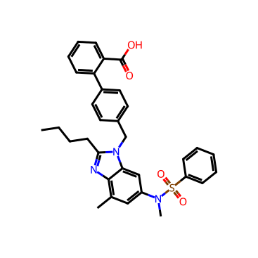 CCCCc1nc2c(C)cc(N(C)S(=O)(=O)c3ccccc3)cc2n1Cc1ccc(-c2ccccc2C(=O)O)cc1